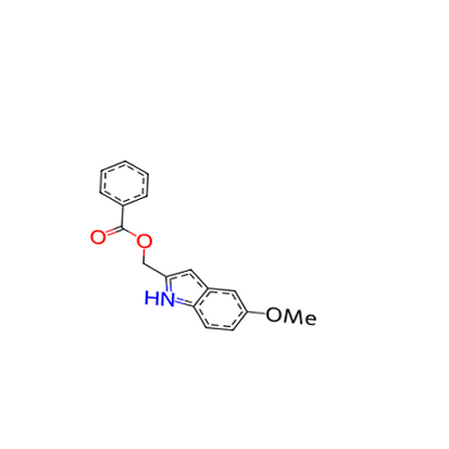 COc1ccc2[nH]c(COC(=O)c3ccccc3)cc2c1